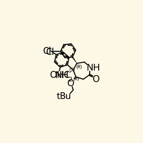 CC(C)(C)CO[C@@H]1CC(=O)NC[C@H](c2cccc(Cl)c2)[C@]1(C=O)c1ccc(Cl)cc1N